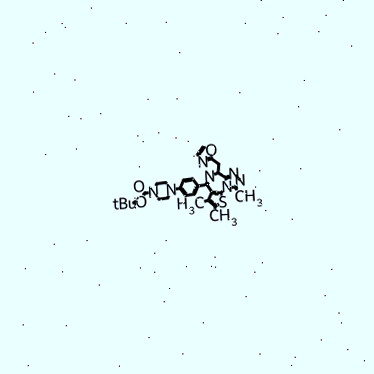 Cc1sc2c(c1C)C(c1ccc(N3CCN(C(=O)OC(C)(C)C)CC3)cc1)=NC(Cc1ncco1)c1nnc(C)n1-2